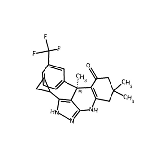 CC1(C)CC(=O)C2=C(C1)Nc1n[nH]c(C3CC3)c1[C@@]2(C)c1cccc(C(F)(F)F)c1